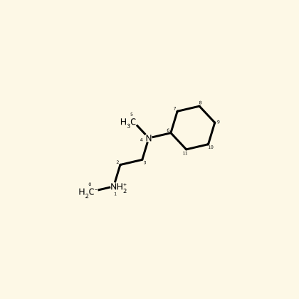 [CH2-][NH2+]CCN(C)C1CCCCC1